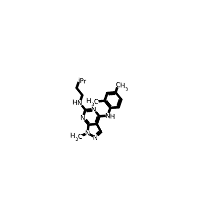 Cc1ccc(Nc2nc(NCCC(C)C)nc3c2cnn3C)c(C)c1